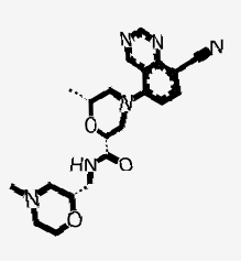 C[C@@H]1CN(c2ccc(C#N)c3ncncc23)C[C@H](C(=O)NC[C@H]2CN(C)CCO2)O1